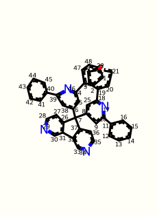 c1ccc(-c2cc(C3(c4cc(-c5ccccc5)nc(-c5ccccc5)c4)c4ccncc4-c4cnccc43)cc(-c3ccccc3)n2)cc1